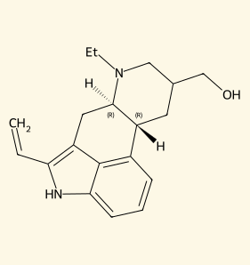 C=Cc1[nH]c2cccc3c2c1C[C@@H]1[C@@H]3CC(CO)CN1CC